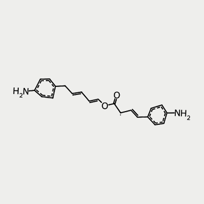 Nc1ccc(C=C[CH]C(=O)OC=CC=CCc2ccc(N)cc2)cc1